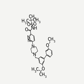 CCOc1cccc(-c2cc(CN3CCN(c4ccc(C(=O)NS(=O)(=O)C(C)(C)C)nn4)CC3)cc(OC(C)C)c2)c1